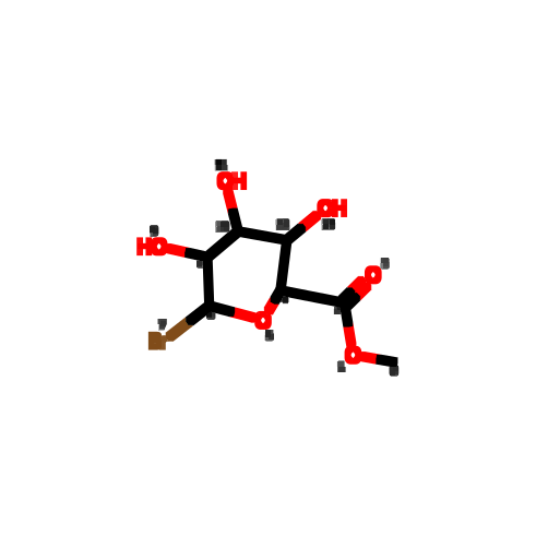 COC(=O)C1OC(Br)C(O)C(O)C1O